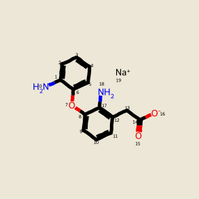 Nc1ccccc1Oc1cccc(CC(=O)[O-])c1N.[Na+]